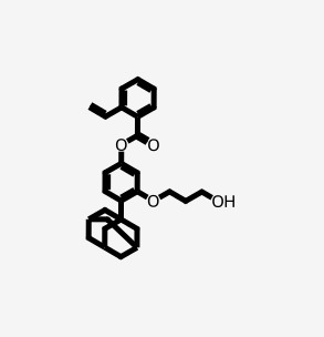 C=Cc1ccccc1C(=O)Oc1ccc(C23CC4CC(CC(C4)C2)C3)c(OCCCO)c1